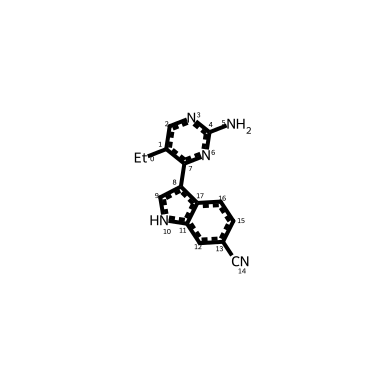 CCc1cnc(N)nc1-c1c[nH]c2cc(C#N)ccc12